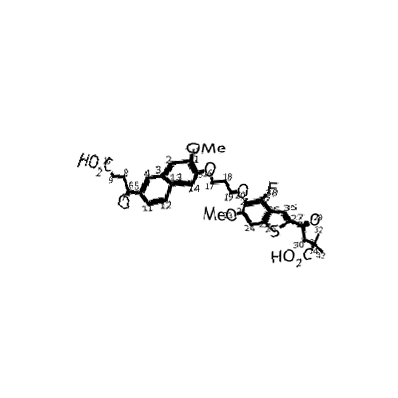 COc1cc2cc(C(=O)CCC(=O)O)ccc2cc1OCCCOc1c(OC)cc2sc(C(=O)CC(C)(C)C(=O)O)cc2c1F